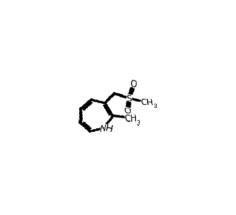 CC1=C(CS(C)(=O)=O)C=CC=CN1